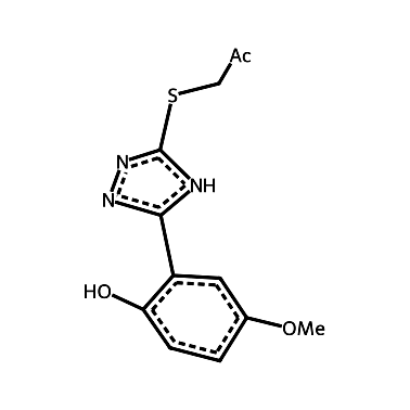 COc1ccc(O)c(-c2nnc(SCC(C)=O)[nH]2)c1